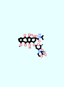 COc1cccc2c1C(=O)c1c(O)c3c(c(O)c1C2=O)C[C@@](O)(C(=O)NC(C)C)C[C@@H]3O[C@H]1CC2C(O[C@@H]3[C@@H](OC)OCCN23)[C@H](C)O1